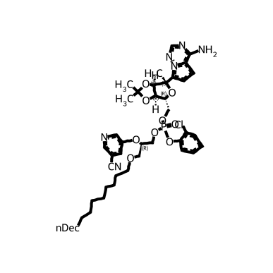 CCCCCCCCCCCCCCCCCCOC[C@H](COP(=O)(OC[C@H]1O[C@@](C)(c2ccc3c(N)ncnn23)[C@@H]2OC(C)(C)O[C@@H]21)Oc1ccccc1Cl)Oc1cncc(C#N)c1